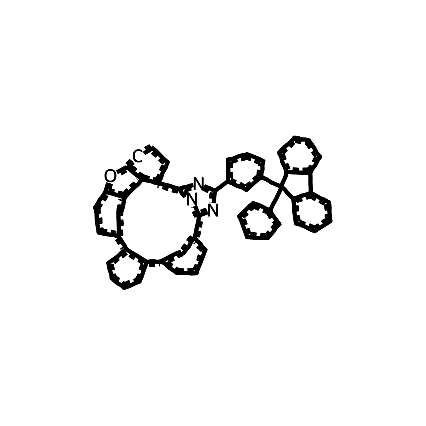 c1ccc(C2(c3cccc(-c4nc5nc(n4)c4cccc6oc7ccc(cc7c64)c4ccccc4c4cccc5c4)c3)c3ccccc3-c3ccccc32)cc1